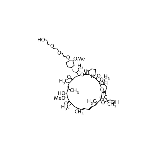 CO[C@@H]1C[C@H](C[C@@H](C)[C@@H]2CC(=O)[C@H](C)/C=C(\C)[C@@H](O)[C@@H](OC)C(=O)[C@H](C)C[C@H](C)/C=C/C=C/C=C(\C)[C@H](OC(C)(C)CO)C[C@@H]3CC[C@@H](C)[C@@](O)(O3)C(=O)C(=O)N3CCCC[C@H]3C(=O)O2)CC[C@H]1OCCOCCOCCO